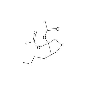 CCCCC1CCCC1(OC(C)=O)OC(C)=O